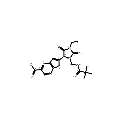 CCN1C(=O)[C@H](c2cc3nc(C(N)=O)ccc3o2)N(COC(=O)C(C)(C)C)C1=O